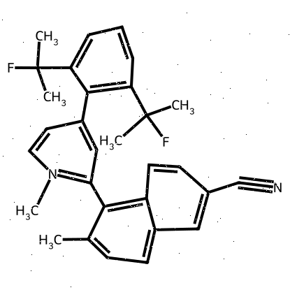 Cc1ccc2cc(C#N)ccc2c1-c1cc(-c2c(C(C)(C)F)cccc2C(C)(C)F)cc[n+]1C